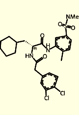 CNS(=O)(=O)c1ccc(C)c(NC(=O)[C@@H](CC2CCCCC2)NC(=O)Cc2ccc(Cl)c(Cl)c2)c1